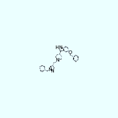 c1ccc(COc2ccc3[nH]cc(C4CCN(CCc5cnn(Cc6ccccc6)c5)CC4)c3c2)cc1